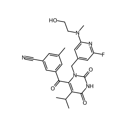 Cc1cc(C#N)cc(C(=O)c2c(C(C)C)c(=O)[nH]c(=O)n2Cc2cc(F)nc(N(C)CCO)c2)c1